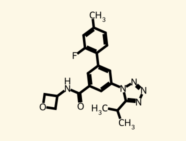 Cc1ccc(-c2cc(C(=O)NC3COC3)cc(-n3nnnc3C(C)C)c2)c(F)c1